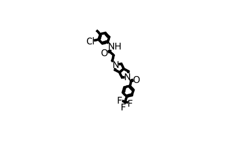 Cc1ccc(NC(=O)CCN2CC3CN(C(=O)c4ccc(C(F)(F)F)cc4)CC3C2)cc1Cl